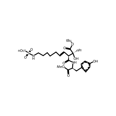 CCCCCCCCS(=O)(=O)NCCCCC/C=C/[C@H](C(=O)N[C@@H](Cc1ccc(O)cc1)C(=O)OC)[C@@](O)(CCC)C(=O)OC(C)(C)C